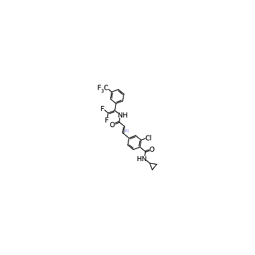 O=C(/C=C/c1ccc(C(=O)NC2CC2)c(Cl)c1)NC(=C(F)F)c1cccc(C(F)(F)F)c1